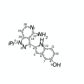 CC(C)n1nc(-c2cc3cc(O)ccc3[nH]2)c2c(N)nccc21